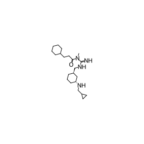 CN(C(=N)NC[C@@H]1CCC[C@@H](NCC2CC2)C1)C(=O)CCC1CCCCC1